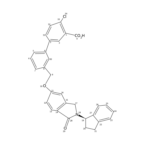 O=C(O)c1cc(-c2cccc(COc3ccc4c(c3)CN([C@@H]3CCc5ccccc53)C4=O)c2)ccc1Cl